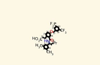 Cc1cc(C)cc(C(CC(C)C)NC(=O)c2cc(OCc3cc(C(F)(F)F)cc(C(F)(F)F)c3)ccc2CCC(=O)O)c1